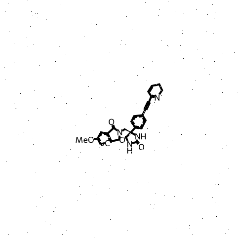 COc1ccc2c(c1)C(=O)N(C[C@@]1(c3ccc(C#CC4=NCCC=C4)cc3)NC(=O)NC1=O)C2